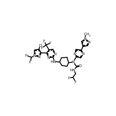 Cn1cc(-c2cnc(N(C(=O)NCC(F)F)C3CCC(Nc4ncc(C(F)(F)F)c(-c5nn(C(F)F)cc5Cl)n4)CC3)cn2)cn1